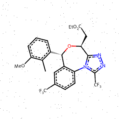 CCOC(=O)C[C@@H]1O[C@@H](c2cccc(OC)c2C)c2cc(C(F)(F)F)ccc2-n2c1nnc2C(F)(F)F